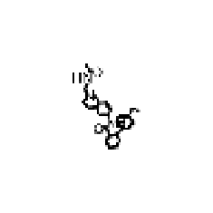 CCc1ccc(C2=C(C(=O)Nc3ccc4c(c3)CCN(CCNC(C)=O)C4)CCCC2)cc1